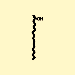 [CH]=C(O)CCCCCCCCCCCCCCC